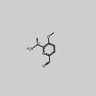 COc1ccc(C=O)nc1[C@H](C)N